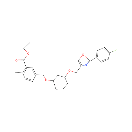 CCOC(=O)c1cc(COC2CCCC(OCc3coc(-c4ccc(F)cc4)n3)C2)ccc1C